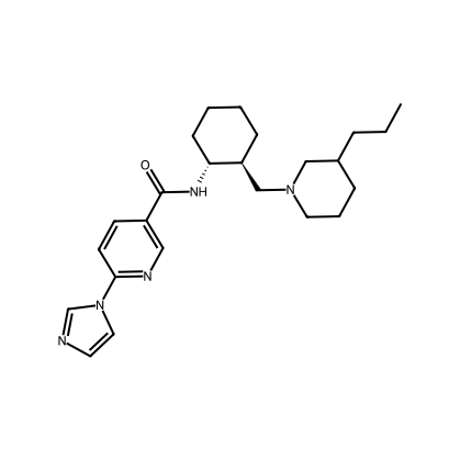 CCCC1CCCN(C[C@@H]2CCCC[C@H]2NC(=O)c2ccc(-n3ccnc3)nc2)C1